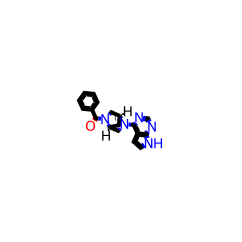 O=C(c1ccccc1)N1C[C@@H]2C[C@H]1CN2c1ncnc2[nH]ccc12